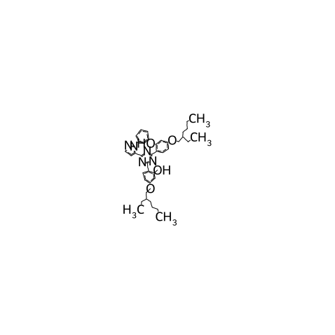 CCCCC(CC)COc1ccc(-c2nc(-c3ccc(OCC(CC)CCCC)cc3O)nc(-c3ccnn3-c3ccccc3)n2)c(O)c1